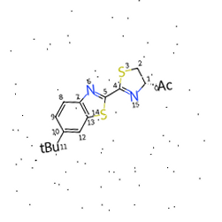 CC(=O)[C@H]1CSC(c2nc3ccc(C(C)(C)C)cc3s2)=N1